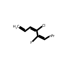 C=C/C=C(Cl)\C(F)=C/CCC